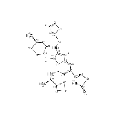 C[C@@H](Nc1nc(-c2noc(=O)[nH]2)nc2nc(NCc3cncs3)n(C[C@H]3CC[C@H](C)CC3)c12)C1CCC1